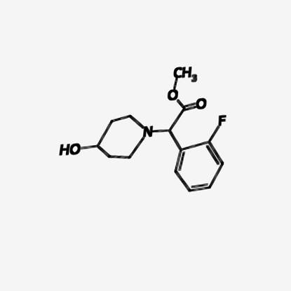 COC(=O)C(c1ccccc1F)N1CCC(O)CC1